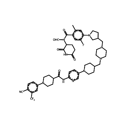 Cc1cc(N2CCC(CN3CCN(CC4CCN(c5ccc(NC(=O)C6CCN(c7ccc(C#N)c(C(F)(F)F)c7)CC6)nc5)CC4)CC3)C2)c(F)cc1C(=O)N(C=O)C1CCC(=O)NC1=O